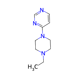 CCN1CCN(c2ccncn2)CC1